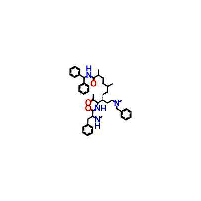 CNC(Cc1ccccc1)C(=O)NC(C(C)=O)[C@H](CCC(C)CC[C@H](C)C(=O)NC(c1ccccc1)c1ccccc1)CCN(C)Cc1ccccc1